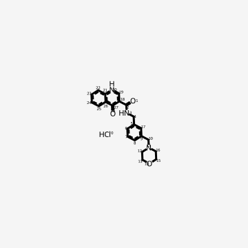 Cl.O=C(NCc1cccc(CN2CCOCC2)c1)c1c[nH]c2ccccc2c1=O